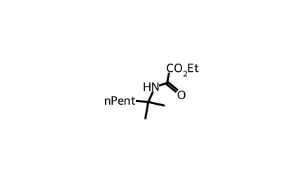 CCCCCC(C)(C)NC(=O)C(=O)OCC